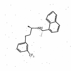 C[C@H](CCc1cccc(C(F)(F)F)c1)N[C@@H](C)c1cccc2ccccc12